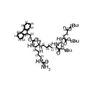 CC(C)(C)OC(=O)CC[C@H](NC(=O)N[C@@H](CCCCNC(=O)[C@H](CCCCNC(N)=O)NC(=O)OCC1c2ccccc2-c2ccccc21)C(=O)OC(C)(C)C)C(=O)OC(C)(C)C